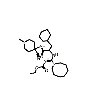 CCOC(=O)/N=C(/NC(CC1CCCCC1)C(=O)NC1(C#N)CCN(C)CC1)N1CCCCCCC1